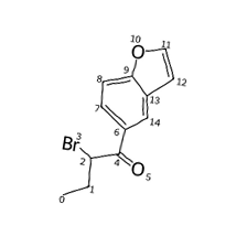 CCC(Br)C(=O)c1ccc2occc2c1